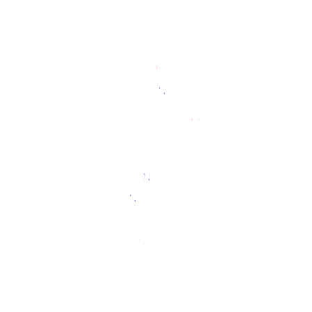 CON(C(=O)c1ccccc1)c1cccc(-n2ccc(Sc3ccccc3)n2)c1